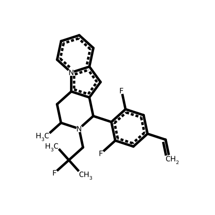 C=Cc1cc(F)c(C2c3cc4ccccn4c3CC(C)N2CC(C)(C)F)c(F)c1